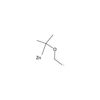 [CH2]COC(C)(C)C.[Zn]